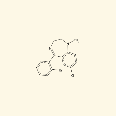 CN1CCN=C(c2ccccc2Br)c2cc(Cl)ccc21